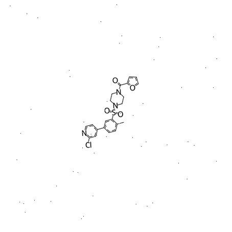 Cc1ccc(-c2ccnc(Cl)c2)cc1S(=O)(=O)N1CCN(C(=O)c2ccco2)CC1